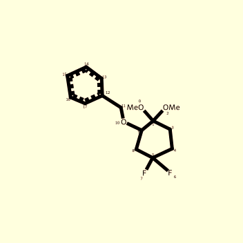 COC1(OC)CCC(F)(F)CC1OCc1ccccc1